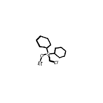 CCO[Si](CCl)(C1CCCCC1)C1CCCCC1